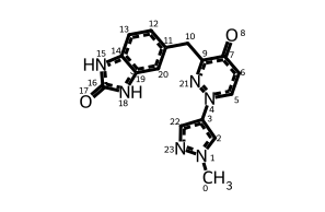 Cn1cc(-n2ccc(=O)c(Cc3ccc4[nH]c(=O)[nH]c4c3)n2)cn1